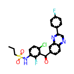 CCCS(=O)(=O)Nc1ccc(Cl)c(C(=O)c2ccc3ncc(-c4ccc(F)cc4)nc3c2)c1F